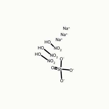 O=[N+]([O-])O.O=[N+]([O-])O.O=[N+]([O-])O.[Na+].[Na+].[Na+].[O]=[Sb]([O-])([O-])[O-]